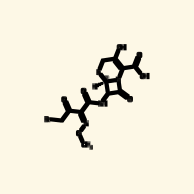 CON=C(C(=O)CBr)C(=O)NC1C(=O)N2C(C(=O)O)=C(O)CS[C@H]12